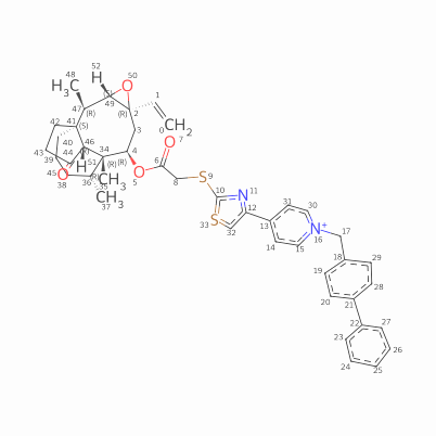 C=C[C@]12C[C@@H](OC(=O)CSc3nc(-c4cc[n+](Cc5ccc(-c6ccccc6)cc5)cc4)cs3)[C@]3(C)[C@H](C)CCC[C@]4(CCC(=O)[C@H]43)[C@@H](C)[C@@H]1O2